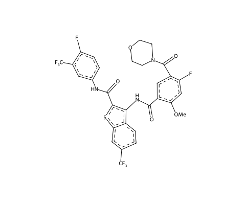 COc1cc(F)c(C(=O)N2CCOCC2)cc1C(=O)Nc1c(C(=O)Nc2ccc(F)c(C(F)(F)F)c2)sc2cc(C(F)(F)F)ccc12